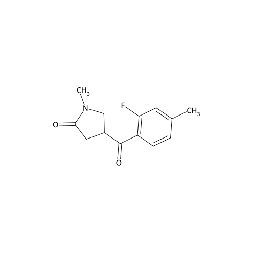 Cc1ccc(C(=O)C2CC(=O)N(C)C2)c(F)c1